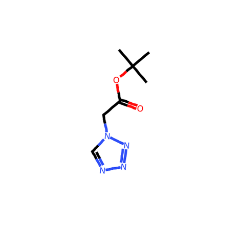 CC(C)(C)OC(=O)Cn1cnnn1